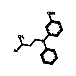 COc1cccc(N(CCN(C)C(C)=O)c2ccccc2)c1